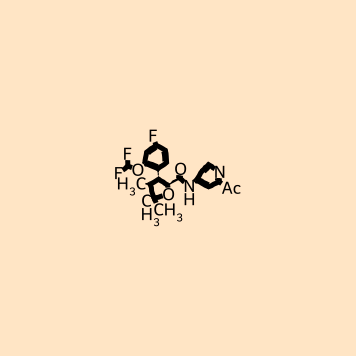 CC(=O)c1cc(NC(=O)[C@H]2OC(C)(C)[C@H](C)[C@@H]2c2ccc(F)cc2OC(F)F)ccn1